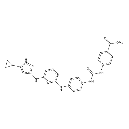 COC(=O)c1ccc(NC(=O)Nc2ccc(Nc3nccc(Nc4cc(C5CC5)[nH]n4)n3)cc2)cc1